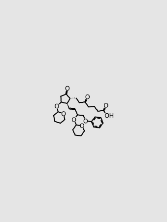 O=C(O)CCCC(=O)CC[C@H]1C(=O)CC(OC2CCCCO2)[C@@H]1/C=C/C(COc1ccccc1)OC1CCCCO1